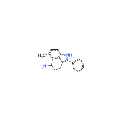 Cc1ccc2[nH]c(-c3ccccc3)c3c2c1C(N)CC3